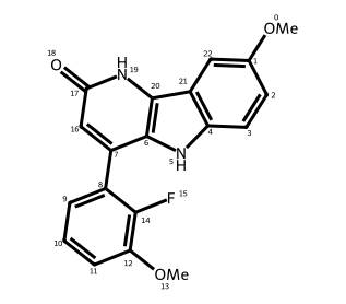 COc1ccc2[nH]c3c(-c4cccc(OC)c4F)cc(=O)[nH]c3c2c1